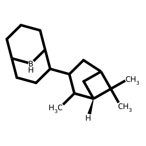 CC1C(C2CCC3BC2CCC3)CC2C[C@@H]1C2(C)C